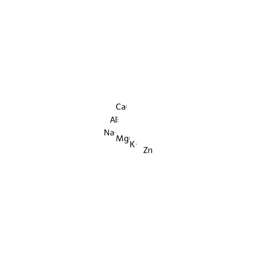 [Al].[Ca].[K].[Mg].[Na].[Zn]